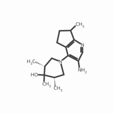 CC1CCc2c1ncc(N)c2N1C[C@@H](C)C(C)(O)[C@@H](C)C1